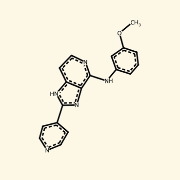 COc1cccc(Nc2nccc3[nH]c(-c4ccncc4)nc23)c1